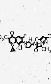 Cc1cc(C)n(C(C)C(=O)NC2CCN(c3c(F)cc4c(=O)c(C(=O)O)cn(C5CC5)c4c3Cl)C2)n1